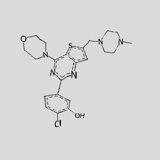 CN1CCN(Cc2cc3nc(-c4ccc(Cl)c(O)c4)nc(N4CCOCC4)c3s2)CC1